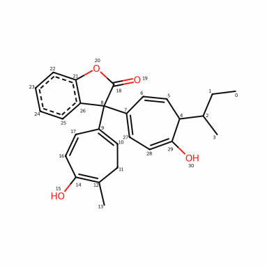 CCC(C)C1C=CC(C2(C3=CCC(C)=C(O)C=C3)C(=O)Oc3ccccc32)=CC=C1O